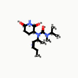 CC/C=C\C(C)N(C(=O)N(C)C(C)C)C1CCC(=O)NC1=O